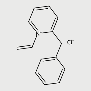 C=C[n+]1ccccc1Cc1ccccc1.[Cl-]